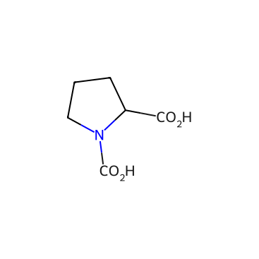 O=C(O)C1CCCN1C(=O)O